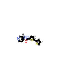 O=C(N[C@H]1CN2CCC1CC2)c1ccc(-c2cccs2)s1